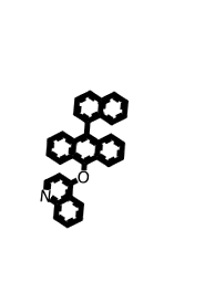 c1ccc2c(-c3c4ccccc4c(Oc4ccnc5ccccc45)c4ccccc34)cccc2c1